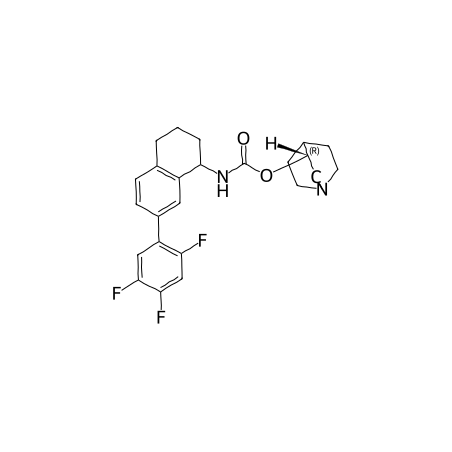 O=C(NC1CCCc2ccc(-c3cc(F)c(F)cc3F)cc21)O[C@H]1CN2CCC1CC2